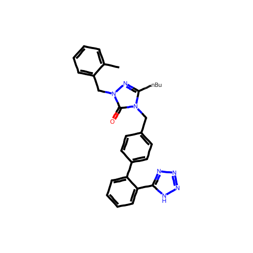 CCCCc1nn(Cc2ccccc2C)c(=O)n1Cc1ccc(-c2ccccc2-c2nnn[nH]2)cc1